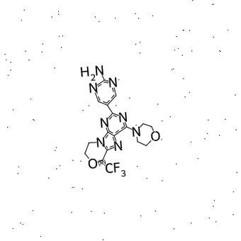 Nc1ncc(-c2nc(N3CCOCC3)c3nc4n(c3n2)CCO[C@H]4C(F)(F)F)cn1